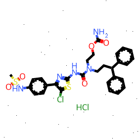 CS(=O)(=O)Nc1ccc(-c2nc(NC(=O)N(CCOC(N)=O)CCC(c3ccccc3)c3ccccc3)sc2Cl)cc1.Cl